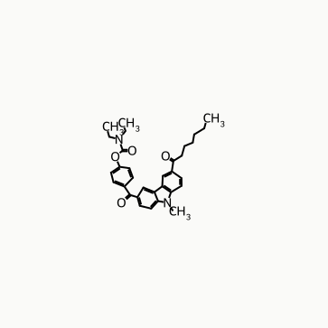 CCCCCCC(=O)c1ccc2c(c1)c1cc(C(=O)c3ccc(OC(=O)N(CC)CC)cc3)ccc1n2C